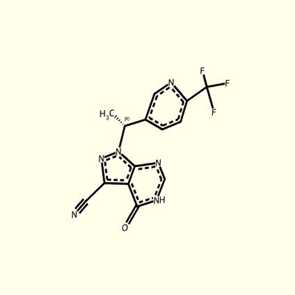 C[C@H](c1ccc(C(F)(F)F)nc1)n1nc(C#N)c2c(=O)[nH]cnc21